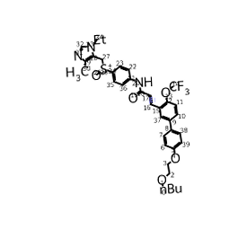 CCCCOCCOc1ccc(-c2ccc(OC(F)(F)F)c(/C=C/C(=O)Nc3ccc([S+]([O-])Cc4c(C)ncn4CC)cc3)c2)cc1